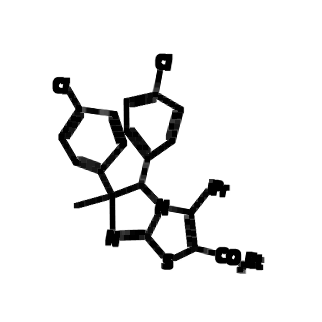 CCOC(=O)C1=C(C(C)C)N2C(=NC(C)(c3ccc(Cl)cc3)C2c2ccc(Cl)cc2)S1